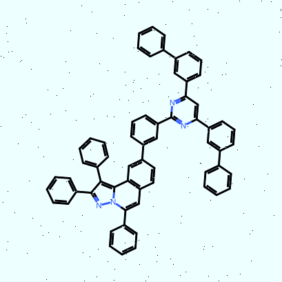 c1ccc(-c2cccc(-c3cc(-c4cccc(-c5ccccc5)c4)nc(-c4cccc(-c5ccc6cc(-c7ccccc7)n7nc(-c8ccccc8)c(-c8ccccc8)c7c6c5)c4)n3)c2)cc1